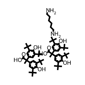 CC(C)(C)c1cc(C(C)(C(=O)O)c2cc(C(C)(C)C)c(O)c(C(C)(C)C)c2)cc(C(C)(C)C)c1O.CC(C)(C)c1cc(C(C)(C(=O)O)c2cc(C(C)(C)C)c(O)c(C(C)(C)C)c2)cc(C(C)(C)C)c1O.NCCCCCCN